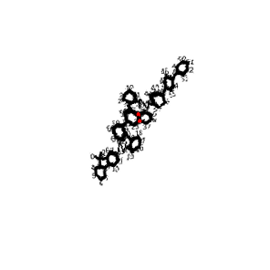 CC1(C)c2ccccc2-c2ccc(-n3c4ccccc4c4c(-c5cccc(-c6ccccc6N(c6ccccc6)c6ccc(-c7ccc(-c8ccccc8)cc7)cc6)c5)cccc43)cc21